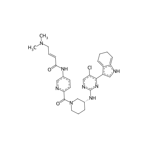 CN(C)C/C=C/C(=O)Nc1ccc(C(=O)N2CCC[C@@H](Nc3ncc(Cl)c(-c4c[nH]c5c4=CCCC=5)n3)C2)nc1